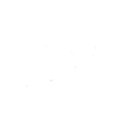 CCN(CC)C(=O)Cn1c(=O)c(C(N)=O)cc2c(C(=O)Nc3ccncc3)ccnc21